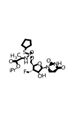 CC(C)OC(=O)[C@H](C)NP(=O)(OC[C@H]1O[C@@H](n2ccc(=O)[nH]c2=O)[C@H](O)[C@@H]1CF)SC1CCCC1